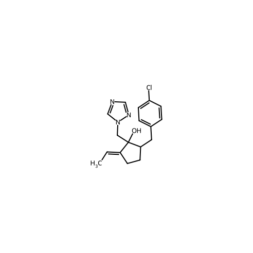 C/C=C1\CCC(Cc2ccc(Cl)cc2)C1(O)Cn1cncn1